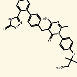 CCCCc1nc(C)n(-c2ccc(OC(C)(C)COC)cc2)c(=O)c1Cc1ccc(-c2ccccc2-c2noc(=O)[nH]2)cc1